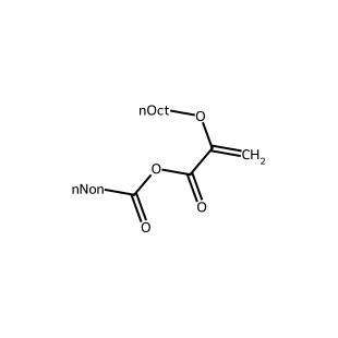 C=C(OCCCCCCCC)C(=O)OC(=O)CCCCCCCCC